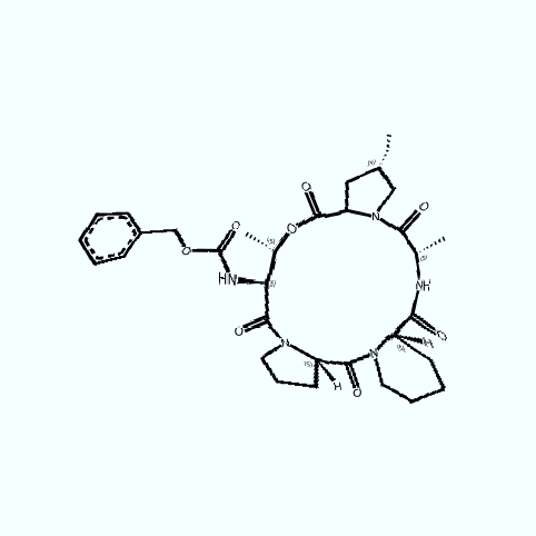 C[C@H]1CC2C(=O)O[C@@H](C)[C@H](NC(=O)OCc3ccccc3)C(=O)N3CCC[C@H]3C(=O)N3CCCC[C@H]3C(=O)N[C@@H](C)C(=O)N2C1